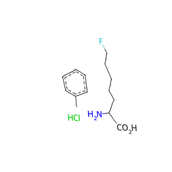 Cc1ccccc1.Cl.NC(CCCCCF)C(=O)O